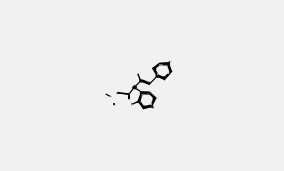 C/C(=C\c1ccc(Cl)cc1)C(O)(c1ccc(Cl)cc1Cl)C(C)CN(C)C